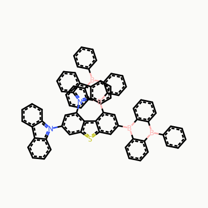 c1ccc(B2c3ccccc3B(c3cc(B4c5ccccc5B(c5ccccc5)c5ccccc54)c4c(c3)sc3cc(-n5c6ccccc6c6ccccc65)cc(-n5c6ccccc6c6ccccc65)c34)c3ccccc32)cc1